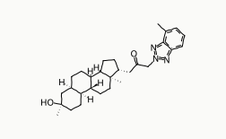 Cc1cccc2nn(CC(=O)C[C@H]3CC[C@H]4[C@@H]5CC[C@@H]6C[C@](C)(O)CC[C@@H]6[C@H]5CC[C@]34C)nc12